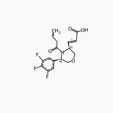 C=CCC(=O)N1[C@@H](/C=C/C(=O)O)COC[C@H]1c1cc(F)c(F)c(F)c1